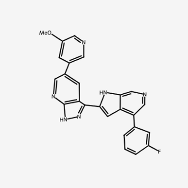 COc1cncc(-c2cnc3[nH]nc(-c4cc5c(-c6cccc(F)c6)cncc5[nH]4)c3c2)c1